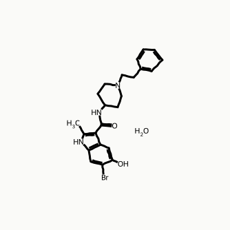 Cc1[nH]c2cc(Br)c(O)cc2c1C(=O)NC1CCN(CCc2ccccc2)CC1.O